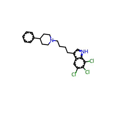 Clc1cc2c(CCCCN3CCC(c4ccccc4)CC3)c[nH]c2c(Cl)c1Cl